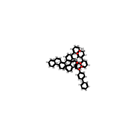 CC1C=C(N(c2ccc(-c3ccc(-c4ccccc4)cc3)cc2)c2cc(-c3cccc4c3ccc3ccccc34)ccc2-c2ccccc2)C(c2cccc3oc4c5ccccc5ccc4c23)=CC1